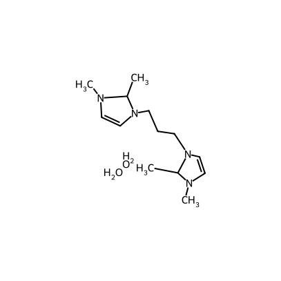 CC1N(C)C=CN1CCCN1C=CN(C)C1C.O.O